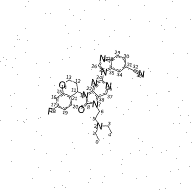 CCN(CC)CCn1c(=O)n(C2CCOc3cc(F)ccc32)c2nc(-n3cnc4ccc(C#N)cc43)ncc21